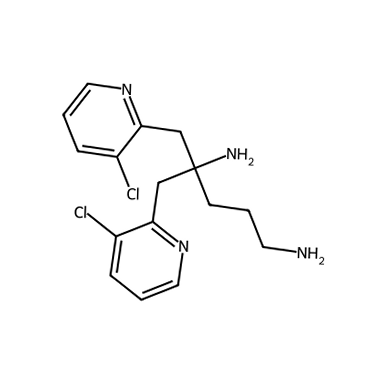 NCCCC(N)(Cc1ncccc1Cl)Cc1ncccc1Cl